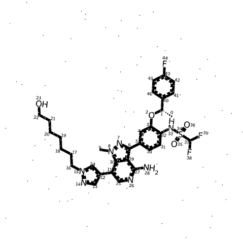 C[C@H](Oc1cc(-c2nn(C)c3c(-c4cnn(CCCCCCCO)c4)cnc(N)c23)ccc1NS(=O)(=O)C(F)F)c1ccc(F)cc1